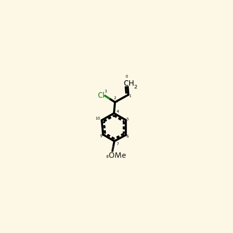 C=C[C](Cl)c1ccc(OC)cc1